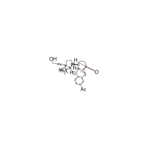 CC(=O)c1ccc2c(c1)S[C@]13CCC(=O)C=C1CC[C@@H]1[C@@H]3[C@@H]2C[C@@]2(C)[C@H]1CC[C@@]2(O)C#CCO